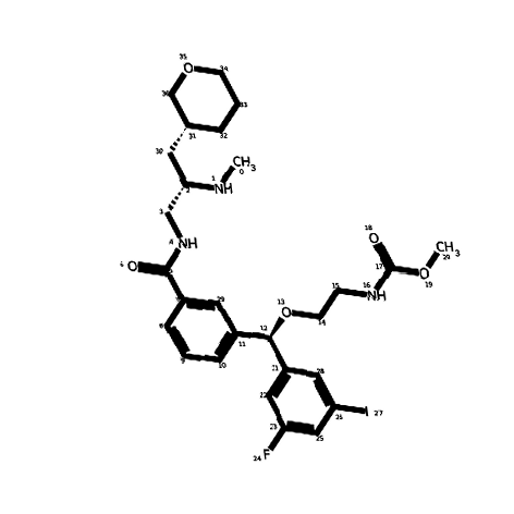 CN[C@H](CNC(=O)c1cccc([C@@H](OCCNC(=O)OC)c2cc(F)cc(I)c2)c1)C[C@H]1CCCOC1